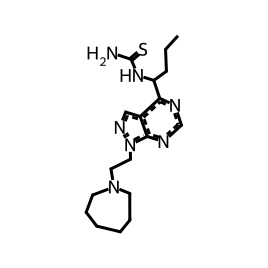 CCCC(NC(N)=S)c1ncnc2c1cnn2CCN1CCCCCC1